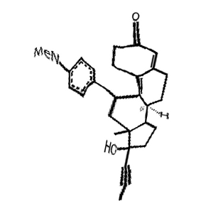 CC#CC1(O)CCC2[C@@H]3CCC4=CC(=O)CCC4=C3C(c3ccc(NC)cc3)CC21C